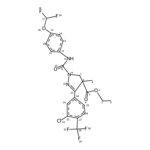 CCOC(=O)C1(C)CN(C(=O)Nc2ccc(OC(F)F)cc2)N=C1c1ccc(C(F)(F)F)c(Cl)c1